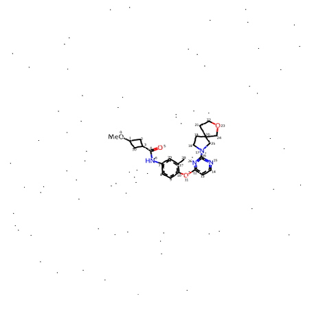 COC1CC(C(=O)Nc2ccc(Oc3ccnc(N4CCC5(CCOC5)C4)n3)c(C)c2)C1